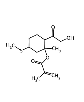 C=C(C)C(=O)OC1(C)CC(SC)CCC1C(=O)CO